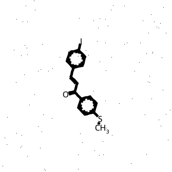 CSc1ccc(C(=O)C=Cc2ccc(I)cc2)cc1